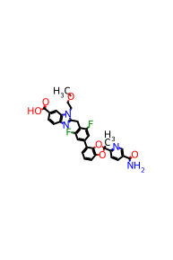 COCCn1c(Cc2c(F)cc(-c3cccc4c3OC(C)(c3ccc(C(N)=O)cn3)O4)cc2F)nc2ccc(C(=O)O)cc21